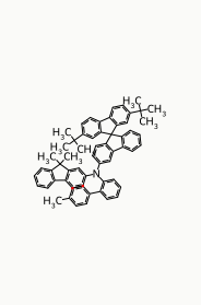 Cc1ccc(-c2ccccc2N(c2ccc3c(c2)-c2ccccc2C32c3cc(C(C)(C)C)ccc3-c3ccc(C(C)(C)C)cc32)c2ccc3c(c2)C(C)(C)c2ccccc2-3)cc1